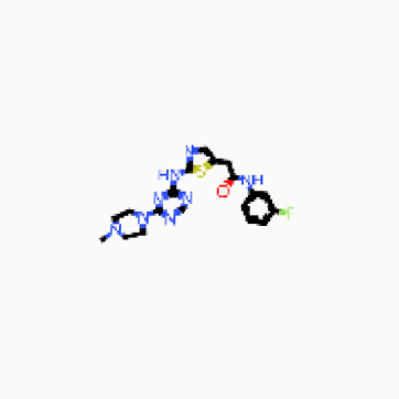 CN1CCN(c2ncnc(Nc3ncc(CC(=O)Nc4cccc(F)c4)s3)n2)CC1